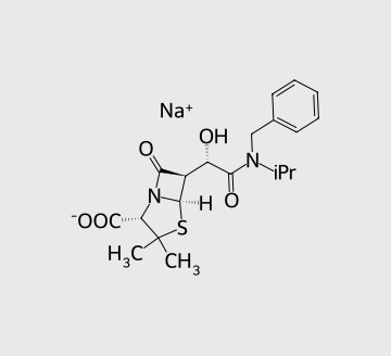 CC(C)N(Cc1ccccc1)C(=O)[C@@H](O)[C@@H]1C(=O)N2[C@@H]1SC(C)(C)[C@@H]2C(=O)[O-].[Na+]